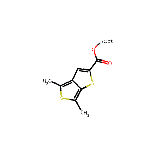 CCCCCCCCOC(=O)c1cc2c(C)sc(C)c2s1